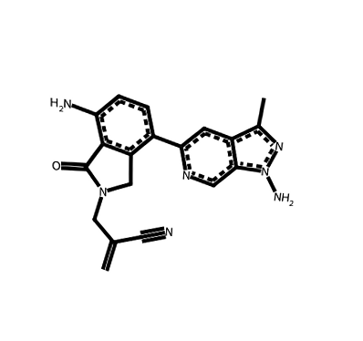 C=C(C#N)CN1Cc2c(-c3cc4c(C)nn(N)c4cn3)ccc(N)c2C1=O